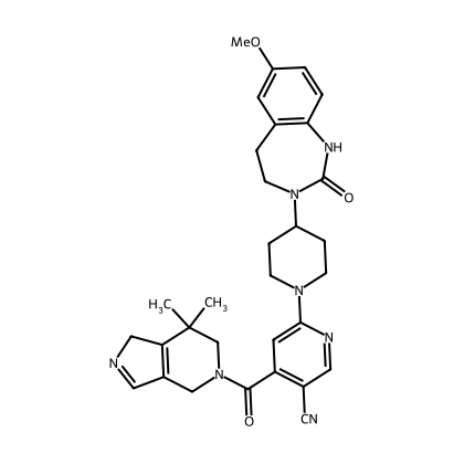 COc1ccc2c(c1)CCN(C1CCN(c3cc(C(=O)N4CC5=C(CN=C5)C(C)(C)C4)c(C#N)cn3)CC1)C(=O)N2